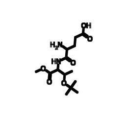 COC(=O)C(NC(=O)C(N)CCC(=O)O)C(C)OC(C)(C)C